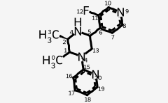 CC1[C@@H](C)NC(c2ccncc2F)CN1c1ccccn1